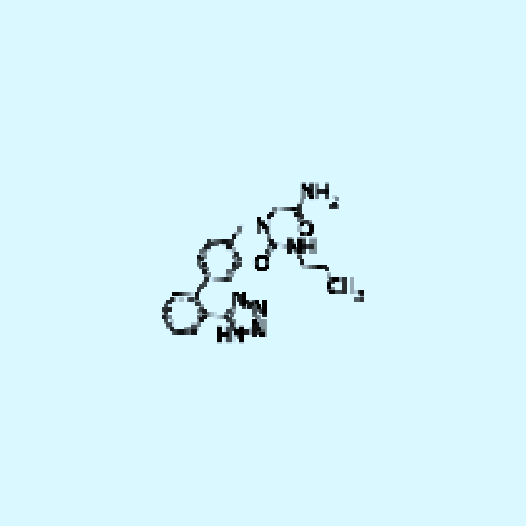 CCCNC(=O)N(CC(N)=O)Cc1ccc(-c2ccccc2-c2nnn[nH]2)cc1